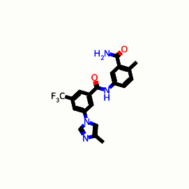 Cc1cn(-c2cc(C(=O)Nc3ccc(C)c(C(N)=O)c3)cc(C(F)(F)F)c2)cn1